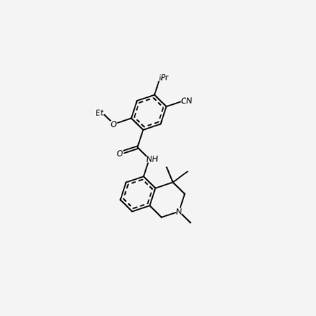 CCOc1cc(C(C)C)c(C#N)cc1C(=O)Nc1cccc2c1C(C)(C)CN(C)C2